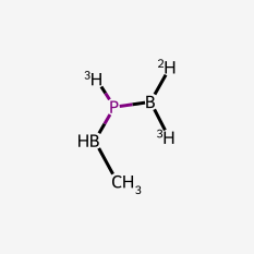 [2H]B([3H])P([3H])BC